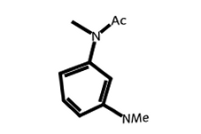 CNc1cccc(N(C)C(C)=O)c1